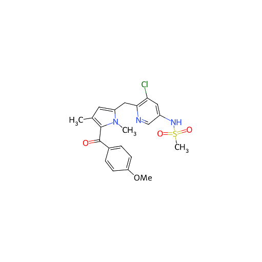 COc1ccc(C(=O)c2c(C)cc(Cc3ncc(NS(C)(=O)=O)cc3Cl)n2C)cc1